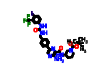 CC(C)(C)OC(=O)N1CCC[C@H](NC(=O)c2nc(-c3ccc(CNC(=O)Nc4ccc(I)c(C(F)(F)F)c4)cc3)cnc2N)C1